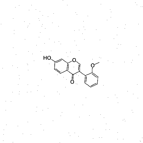 COc1ccccc1-c1coc2cc(O)ccc2c1=O